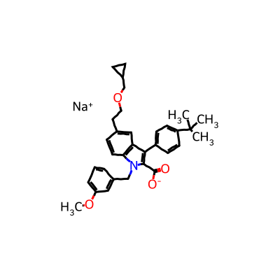 COc1cccc(Cn2c(C(=O)[O-])c(-c3ccc(C(C)(C)C)cc3)c3cc(CCOCC4CC4)ccc32)c1.[Na+]